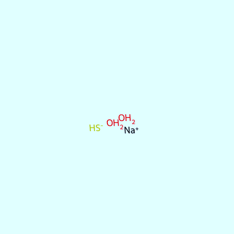 O.O.[Na+].[SH-]